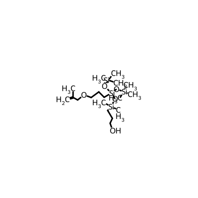 C=C(C)COCCC[Si](O[Si](C)(C)C)(O[Si](C)(C)C)O[Si](C)(C)CCCO